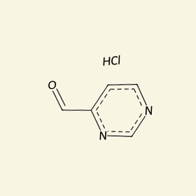 Cl.O=Cc1ccncn1